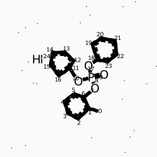 Cc1ccccc1OP(=O)(Oc1ccccc1)Oc1ccccc1.I